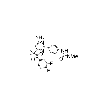 CNC(=O)Nc1ccc(-c2nc(N)cc(C3(S(=O)(=O)c4ccc(F)c(F)c4)CC3)n2)cc1